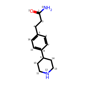 NC(=O)CCc1ccc(C2CCNCC2)cc1